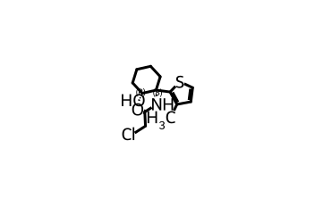 Cc1ccsc1[C@]1(NC(=O)CCl)CCCC[C@H]1O